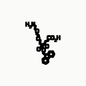 NCCOCCOCCN(C(=O)CCC(=O)O)C(=O)OCC1c2ccccc2-c2ccccc21